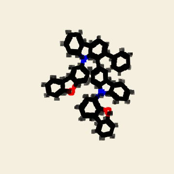 c1ccc(-c2ccc3c4ccccc4n(-c4ccc5oc6ccccc6c5c4)c3c2-c2ccc3c(c2)c2ccccc2n3-c2cccc3c2oc2ccccc23)cc1